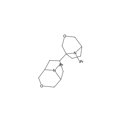 CC(C)N1C2COCC1CC(C13CCC(COC1)N3C(C)C)C2